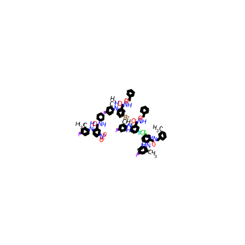 Cc1cc(I)ccc1Nc1ccc(Br)cc1C(=O)NOCc1ccccc1.Cc1cc(I)ccc1Nc1ccc(F)cc1C(=O)NOCc1ccccc1.Cc1cc(I)ccc1Nc1ccc([N+](=O)[O-])cc1C(=O)NC1CCCCC1.Cc1cccc(CNC(=O)c2cc(Cl)ccc2Nc2ccc(I)cc2C)c1